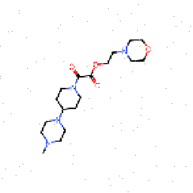 CN1CCN(C2CCN(C(=O)C(=O)OCCN3CCOCC3)CC2)CC1